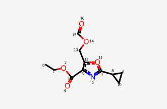 CCOC(=O)c1nc(C2CC2)oc1COC=O